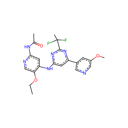 CCOc1cnc(NC(C)=O)cc1Nc1cc(-c2cncc(OC)c2)nc(C(C)(F)F)n1